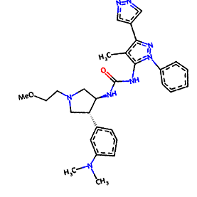 COCCN1C[C@@H](NC(=O)Nc2c(C)c(-c3cnn(C)c3)nn2-c2ccccc2)[C@H](c2cccc(N(C)C)c2)C1